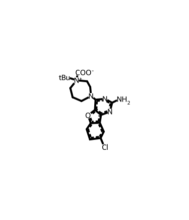 CC(C)(C)[N+]1(C(=O)[O-])CCCN(c2nc(N)nc3c2oc2ccc(Cl)cc23)CC1